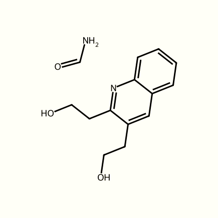 NC=O.OCCc1cc2ccccc2nc1CCO